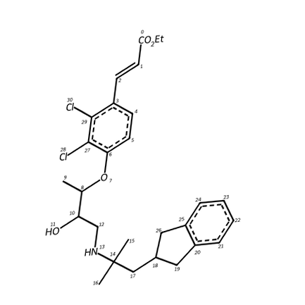 CCOC(=O)C=Cc1ccc(OC(C)C(O)CNC(C)(C)CC2Cc3ccccc3C2)c(Cl)c1Cl